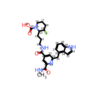 CNC(=O)c1cc(C(=O)NCCCC2C(F)CCCN2C(=O)O)cc(Cc2cccc3[nH]ccc23)n1